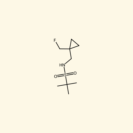 CC(C)(C)S(=O)(=O)NCC1(CF)CC1